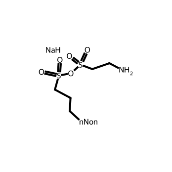 CCCCCCCCCCCCS(=O)(=O)OS(=O)(=O)CCN.[NaH]